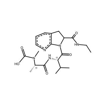 CCNC(=O)C1Cc2cccnc2N1C(=O)[C@@H](NC(=O)[C@H](C)N(C)C(=O)O)C(C)C